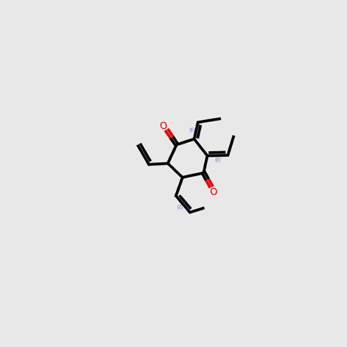 C=CC1C(=O)C(=C/C)/C(=C\C)C(=O)C1/C=C\C